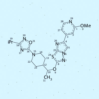 COc1cc(-c2cn3nc(OC(C)C4CCN(c5nc(C(C)C)no5)CC4)sc3n2)ccn1